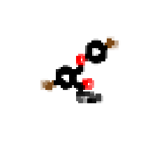 COC(=O)c1cc(Br)ccc1COc1ccc(Br)cc1